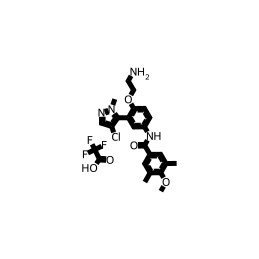 COc1c(C)cc(C(=O)Nc2ccc(OCCN)c(-c3c(Cl)cnn3C)c2)cc1C.O=C(O)C(F)(F)F